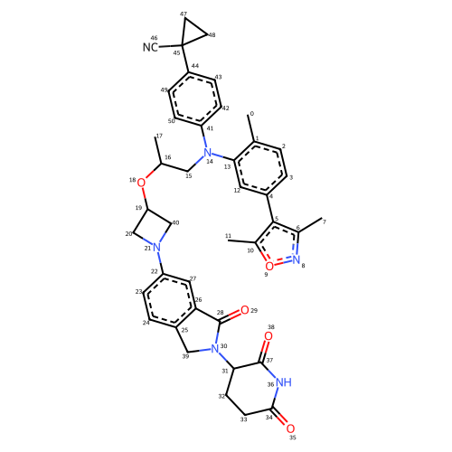 Cc1ccc(-c2c(C)noc2C)cc1N(CC(C)OC1CN(c2ccc3c(c2)C(=O)N(C2CCC(=O)NC2=O)C3)C1)c1ccc(C2(C#N)CC2)cc1